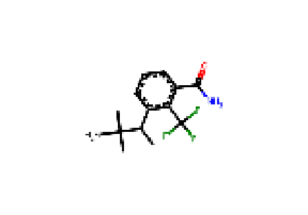 CC(c1cccc(C(N)=O)c1C(F)(F)F)C(C)(C)[SiH3]